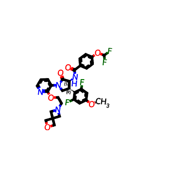 COc1cc(F)c([C@@H]2CN(c3cccnc3OCCN3CC4(COC4)C3)C(=O)[C@H]2NC(=O)c2ccc(OC(F)F)cc2)c(F)c1